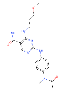 COCCCNc1nc(Nc2ccc(N(C)C(C)=O)cc2)ncc1C(N)=O